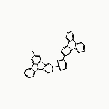 Cc1cc2c3ccccc3n3c4ccc(-c5cccc(-c6ccc7c8ccccc8c8ccccc8c7c6)c5)cc4c(c1)c23